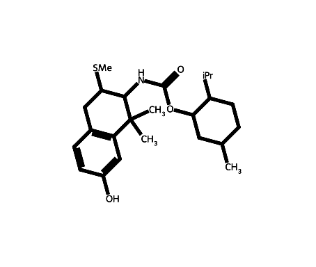 CSC1Cc2ccc(O)cc2C(C)(C)C1NC(=O)OC1CC(C)CCC1C(C)C